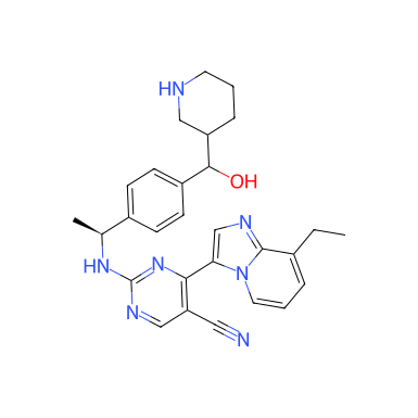 CCc1cccn2c(-c3nc(N[C@@H](C)c4ccc(C(O)C5CCCNC5)cc4)ncc3C#N)cnc12